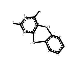 Cc1nc(C)c2c(n1)Oc1ccccc1N2